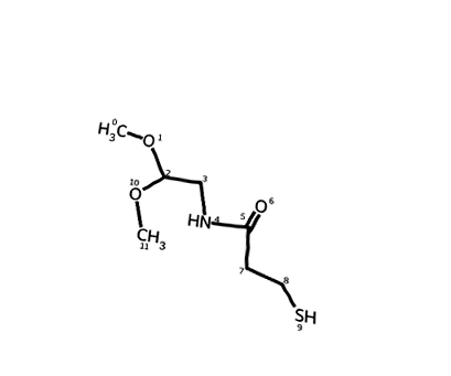 COC(CNC(=O)CCS)OC